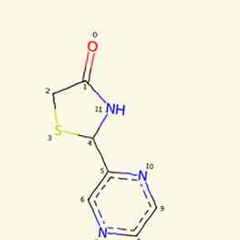 O=C1CSC(c2cnccn2)N1